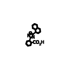 O=C(O)c1ccccc1-c1noc(-c2cccc3ccccc23)n1